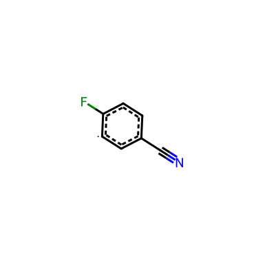 N#Cc1c[c]c(F)cc1